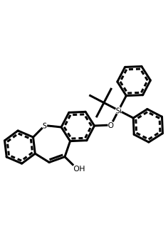 CC(C)(C)[Si](Oc1ccc2c(c1)C(O)=Cc1ccccc1S2)(c1ccccc1)c1ccccc1